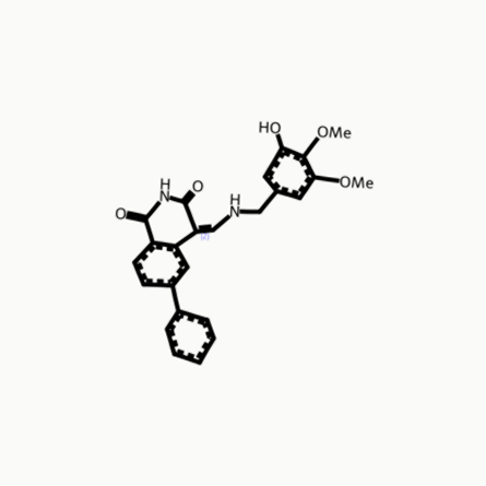 COc1cc(CN/C=C2\C(=O)NC(=O)c3ccc(-c4ccccc4)cc32)cc(O)c1OC